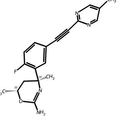 Cc1cnc(C#Cc2ccc(F)c([C@]3(C)C[C@@H](C(F)(F)F)OC(N)=N3)c2)nc1